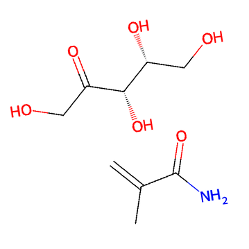 C=C(C)C(N)=O.O=C(CO)[C@@H](O)[C@H](O)CO